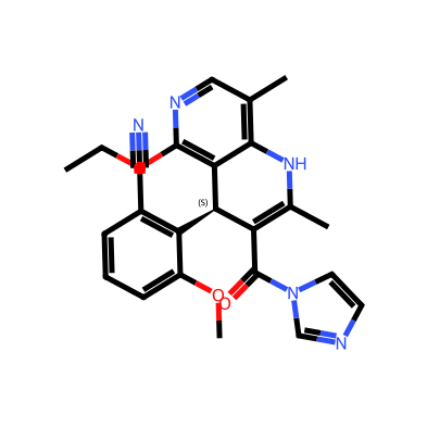 CCOc1ncc(C)c2c1[C@H](c1c(C#N)cccc1OC)C(C(=O)n1ccnc1)=C(C)N2